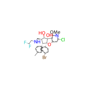 COc1nc(Cl)cc2c1[C@]1(O)[C@H](O)[C@H](CNCC(F)F)[C@@H](c3ccc(C)cc3)[C@]1(c1ccc(Br)cc1)O2